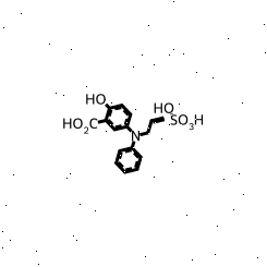 C=CCN(c1ccccc1)c1ccc(O)c(C(=O)O)c1.O=S(=O)(O)O